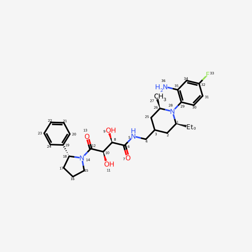 CC[C@H]1CC(CNC(=O)[C@H](O)[C@@H](O)C(=O)N2CCC[C@@H]2c2ccccc2)C[C@@H](C)N1c1ccc(F)cc1N